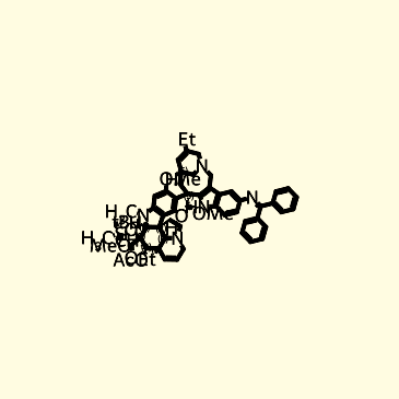 CCC1=C[C@H]2CN(C1)Cc1c([nH]c3ccc(N=C(c4ccccc4)c4ccccc4)cc13)[C@@](C(=O)OC)(c1cc3c(cc1OC)N(C)[C@H]1[C@@](O[Si](C)(C)C(C)(C)C)(C(=O)OC)[C@H](OC(C)=O)[C@]4(CC)C=CCN5CC[C@]31[C@@H]54)C2